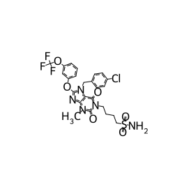 Cn1c(=O)n(CCCCS(N)(=O)=O)c(=O)c2c1nc(Oc1cccc(OC(F)(F)F)c1)n2Cc1ccc(Cl)cc1